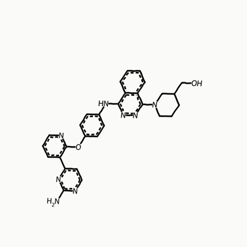 Nc1nccc(-c2cccnc2Oc2ccc(Nc3nnc(N4CCCC(CO)C4)c4ccccc34)cc2)n1